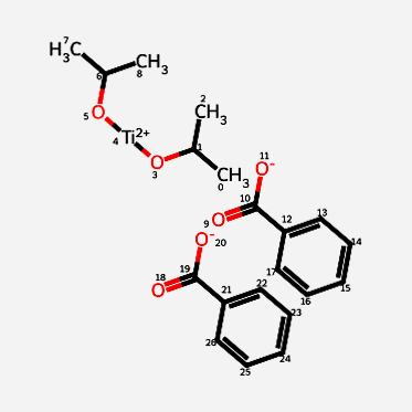 CC(C)[O][Ti+2][O]C(C)C.O=C([O-])c1ccccc1.O=C([O-])c1ccccc1